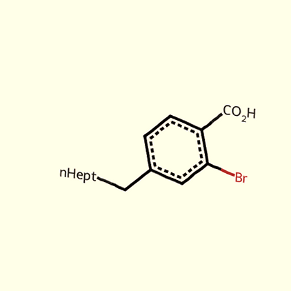 CCCCCCCCc1ccc(C(=O)O)c(Br)c1